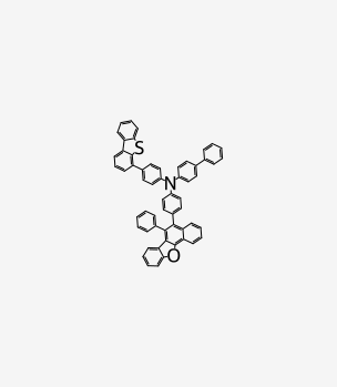 c1ccc(-c2ccc(N(c3ccc(-c4c(-c5ccccc5)c5c6ccccc6oc5c5ccccc45)cc3)c3ccc(-c4cccc5c4sc4ccccc45)cc3)cc2)cc1